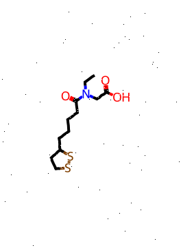 CCN(CC(=O)O)C(=O)CCCCC1CCSS1